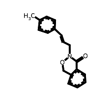 Cc1ccc(/C=C/CN2OCc3ccccc3C2=O)cc1